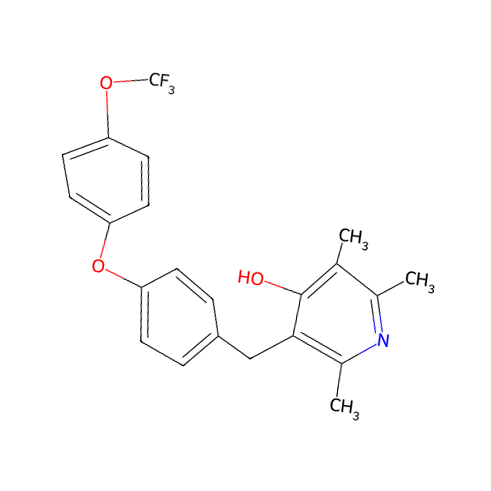 Cc1nc(C)c(Cc2ccc(Oc3ccc(OC(F)(F)F)cc3)cc2)c(O)c1C